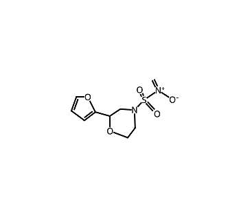 C=[N+]([O-])S(=O)(=O)N1CCOC(c2ccco2)C1